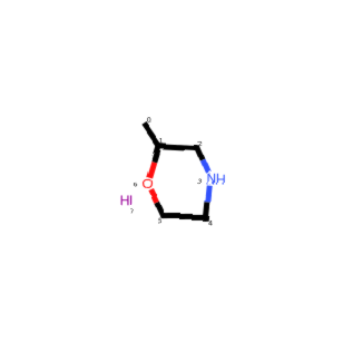 CC1CNCCO1.I